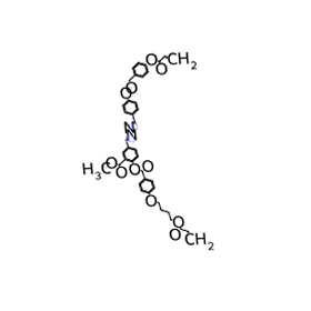 C=CC(=O)OCCCCOc1ccc(C(=O)Oc2ccc(/C=N/N=C/c3ccc(OOCc4ccc(OC(=O)C=C)cc4)cc3)cc2C(=O)OC)cc1